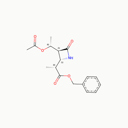 CC(=O)O[C@H](C)[C@H]1C(=O)N[C@@H]1[C@@H](C)C(=O)OCc1ccccc1